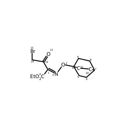 CCOC(=O)/C(=N/OC12CCC(CC1)CC2)C(=O)CBr